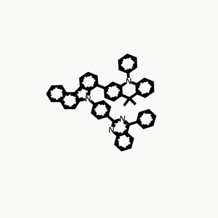 CC1(C)c2ccccc2N(c2ccccc2)c2cc(-c3cccc4c5c6ccccc6ccc5n(-c5ccc(-c6nc(-c7ccccc7)c7ccccc7n6)cc5)c34)ccc21